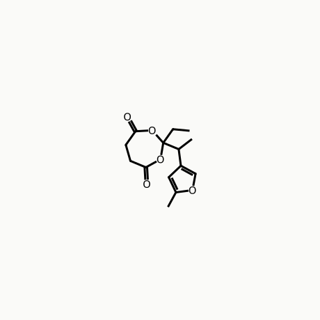 CCC1(C(C)c2coc(C)c2)OC(=O)CCC(=O)O1